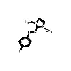 CN1C=CN(C)C1N=Nc1ccc(F)cc1